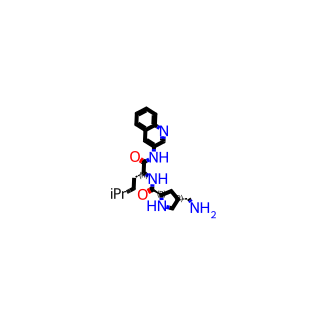 CC(C)CC[C@@H](NC(=O)[C@H]1C[C@H](CN)CN1)C(=O)Nc1cnc2ccccc2c1